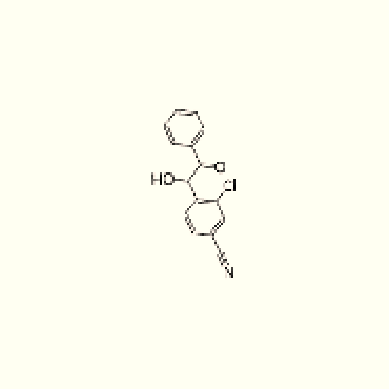 N#Cc1ccc(C(O)C(=O)c2ccccc2)c(Cl)c1